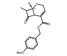 COc1ccc(COC(=O)C2=CCS[C@H]3C(C)C(=O)N23)cc1